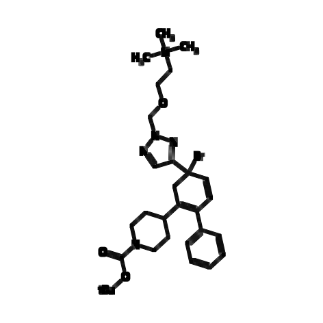 CC(C)(C)OC(=O)N1CCC(C2=C(c3ccccc3)C=CC(Br)(c3cnn(COCC[Si](C)(C)C)n3)C2)CC1